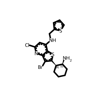 N[C@H]1CCCC[C@H]1c1sc2c(NCc3cccs3)cc(Cl)nc2c1Br